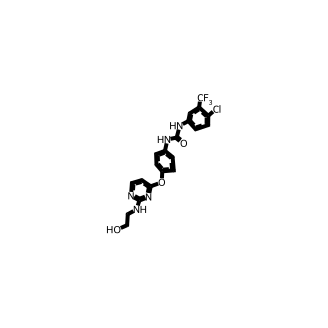 O=C(Nc1ccc(Oc2ccnc(NCCO)n2)cc1)Nc1ccc(Cl)c(C(F)(F)F)c1